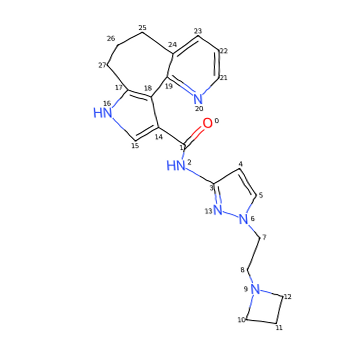 O=C(Nc1ccn(CCN2CCC2)n1)c1c[nH]c2c1-c1ncccc1CCC2